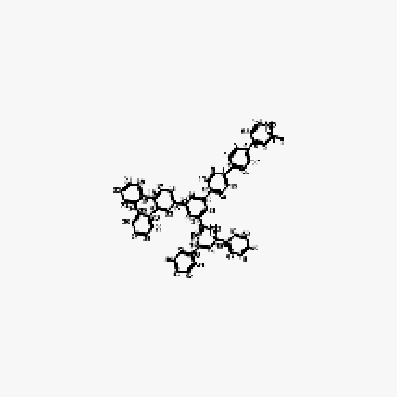 Cc1cc(-c2ccc(-c3ccc(-c4cc(-c5ccc6c7ccccc7c7ccccc7c6c5)cc(-c5nc(-c6ccccc6)cc(-c6ccccc6)n5)c4)cc3)cc2)ccn1